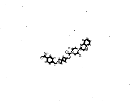 C[C@@H]1CN(c2cnc3ccccc3n2)[C@@H](C)CN1C(=O)OC1CC2(C1)CN(Cc1ccc(C(N)=O)cc1)C2